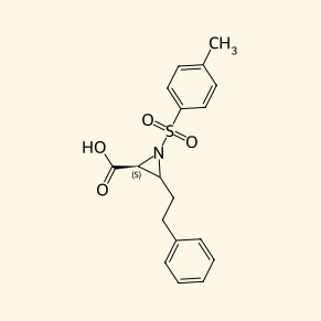 Cc1ccc(S(=O)(=O)N2C(CCc3ccccc3)[C@H]2C(=O)O)cc1